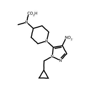 CN(C(=O)O)C1CCN(c2c([N+](=O)[O-])cnn2CC2CC2)CC1